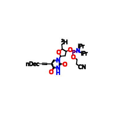 [2H]CC1OC(n2cc(C#CCCCCCCCCCC)c(=O)[nH]c2=O)CC1OP(OCCC#N)N(C(C)C)C(C)C